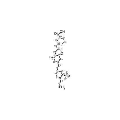 CCOc1ccc(COc2cc(F)c3c(c2)OCC(CN2CCC=C(C(=O)O)C2)=C3)cc1C(F)(F)F